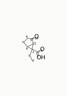 CCC1(C(=O)O)C2CCC(=O)C21